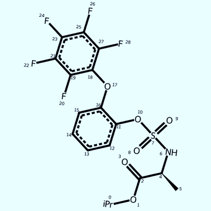 CC(C)OC(=O)[C@H](C)NS(=O)(=O)Oc1ccccc1Oc1c(F)c(F)c(F)c(F)c1F